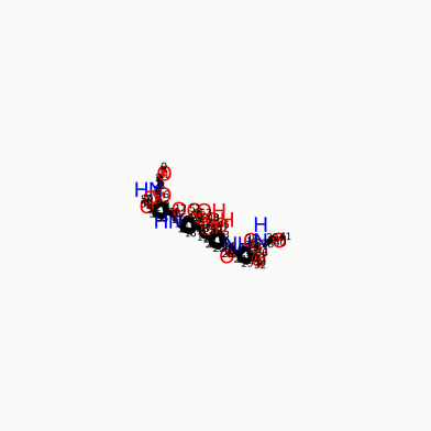 COCCNS(=O)(=O)c1cc(C(=O)Nc2ccc(C=Cc3ccc(NC(=O)c4ccc(OC)c(S(=O)(=O)NCCOC)c4)cc3S(=O)(=O)O)c(S(=O)(=O)O)c2)ccc1OC